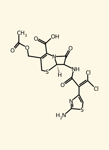 CC(=O)OCC1=C(C(=O)O)N2C(=O)C(NC(=O)C(=C(Cl)Cl)c3csc(N)n3)[C@H]2SC1